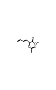 C=CC=CC(OC(C)=O)C(=O)OC